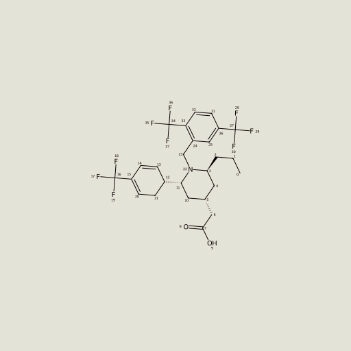 CCC[C@H]1C[C@H](CC(=O)O)C[C@H](C2C=CC(C(F)(F)F)=CC2)N1Cc1cc(C(F)(F)F)ccc1C(F)(F)F